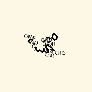 COC[C@H]1CCCN1C(=O)OC[C@@H](C)/C=C/C=C(\C)[C@@H](C=O)[C@@H](C)/C=C/[C@H](OC(=O)N1CCN(C2CCCCCC2)CC1)[C@@](C)(O)CC[C@H](O)CC=O